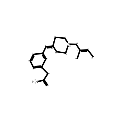 C=C(N)Cc1cccc(C=C2CCN(C/C(C)=C/C)CC2)c1